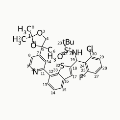 CC1(C)OCC(C)(c2ccnc(-c3cccc4cc(C(N[S@@+]([O-])C(C)(C)C)c5c(F)cccc5Cl)sc34)c2)O1